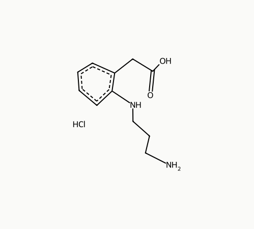 Cl.NCCCNc1ccccc1CC(=O)O